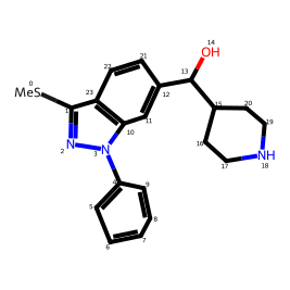 CSc1nn(-c2ccccc2)c2cc(C(O)C3CCNCC3)ccc12